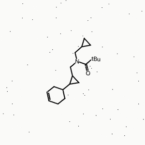 CC(C)(C)C(=O)N(CC1CC1)CC1CC1C1CC=CCC1